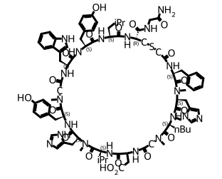 CCCC[C@H]1C(=O)N(C)CC(=O)NC(CC(=O)O)C(=O)N[C@@H](C(C)C)C(=O)N(C)[C@@H](Cc2cnc[nH]2)C(=O)N[C@@H](Cc2ccc(O)cc2)C(=O)N(C)CC(=O)N[C@@H](Cc2c[nH]c3ccccc23)C(=O)N[C@@H](Cc2ccc(O)cc2)C(=O)N[C@@H](CC(C)C)C(=O)N[C@H](C(=O)NCC(N)=O)CSCC(=O)N[C@@H](Cc2ccccc2)C(=O)N(C)[C@@H](Cc2cnc[nH]2)C(=O)N1C